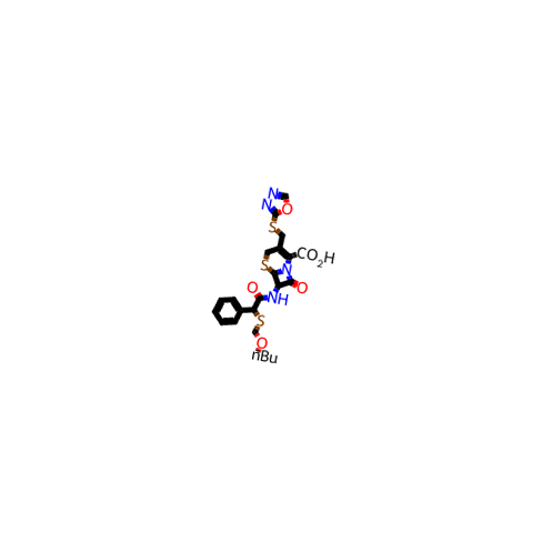 CCCCOCSC(C(=O)NC1C(=O)N2C(C(=O)O)=C(CSc3nnco3)CSC12)c1ccccc1